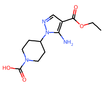 CCOC(=O)c1cnn(C2CCN(C(=O)O)CC2)c1N